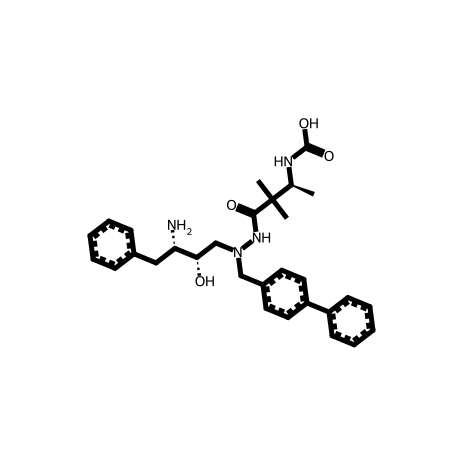 C[C@H](NC(=O)O)C(C)(C)C(=O)NN(Cc1ccc(-c2ccccc2)cc1)C[C@H](O)[C@@H](N)Cc1ccccc1